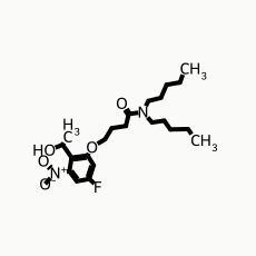 CCCCCN(CCCCC)C(=O)CCCOc1cc(F)cc([N+](=O)[O-])c1C(C)O